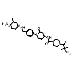 CC1C[C@@H](NCc2ccc(-n3ccc(NC(=O)N4CCN(C(=O)C(C)(C)N)CC4)nc3=O)cc2)CC[C@@H]1N